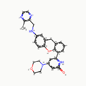 Cc1nccnc1CNc1ccc2c(c1)Cc1cccc(-c3cc(N4CCOCC4)cc(=O)[nH]3)c1O2